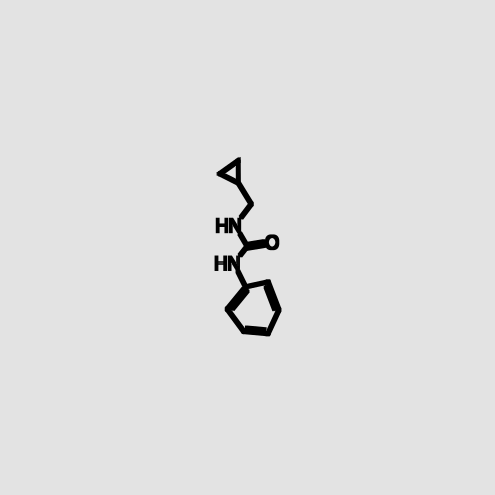 O=C(NCC1CC1)Nc1ccccc1